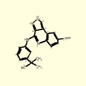 COc1ccc2nc(Nc3cccc(C(C)(C)C#N)c3)c3n[nH]cc3c2c1